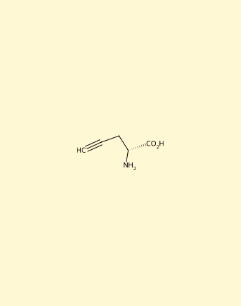 C#CC[C@@H](N)C(=O)O